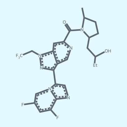 CCC(O)CC1CCC(C)N1C(=O)c1cc2c(cn1)c(-c1cnc3c(F)cc(F)cn13)nn2CC(F)(F)F